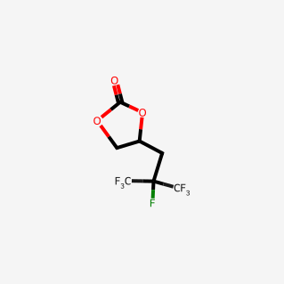 O=C1OCC(CC(F)(C(F)(F)F)C(F)(F)F)O1